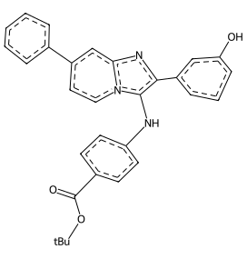 CC(C)(C)OC(=O)c1ccc(Nc2c(-c3cccc(O)c3)nc3cc(-c4ccccc4)ccn23)cc1